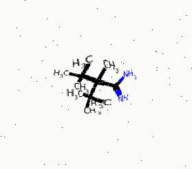 CC(C)(C)C(C)(C(=N)N)C(C)(C)C